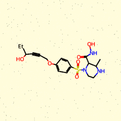 CCC(O)C#CCOc1ccc(S(=O)(=O)N2CCNC(C)C2C(=O)NO)cc1